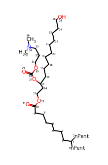 CCCCCC(CCCCC)CCCCCCCC(=O)OCCC(CCCCCCCCCCO)OC(=O)OCCCN(C)C